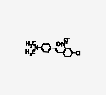 CN(C)c1ccc(/C=C/c2ccc(Cl)cc2[N+](=O)[O-])cc1